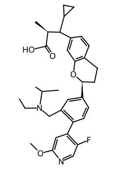 CCN(Cc1cc([C@@H]2CCc3ccc(C(C4CC4)[C@H](C)C(=O)O)cc3O2)ccc1-c1cc(OC)ncc1F)C(C)C